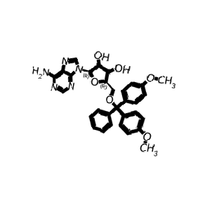 COc1ccc(C(OC[C@H]2O[C@@H](n3cnc4c(N)ncnc43)C(O)C2O)(c2ccccc2)c2ccc(OC)cc2)cc1